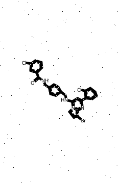 O=C(NCc1ccc(CNc2cc(-c3ccccc3Cl)nc3c(Br)ccn23)cc1)c1cccc(Cl)c1